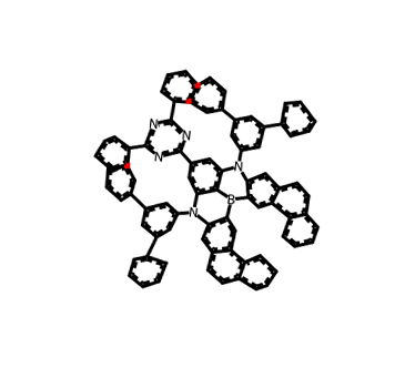 c1ccc(-c2cc(-c3ccccc3)cc(N3c4cc5ccc6ccccc6c5cc4B4c5cc6c(ccc7ccccc76)cc5N(c5cc(-c6ccccc6)cc(-c6ccccc6)c5)c5cc(-c6nc(-c7ccccc7)nc(-c7ccccc7)n6)cc3c54)c2)cc1